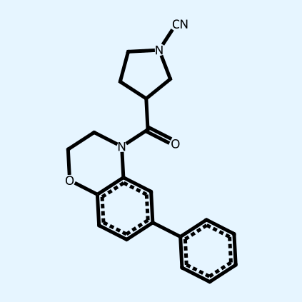 N#CN1CCC(C(=O)N2CCOc3ccc(-c4ccccc4)cc32)C1